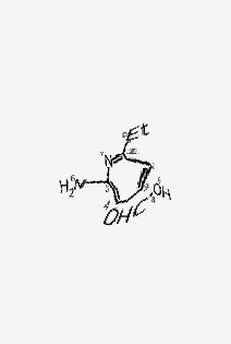 CCc1cccc(N)n1.O=CO